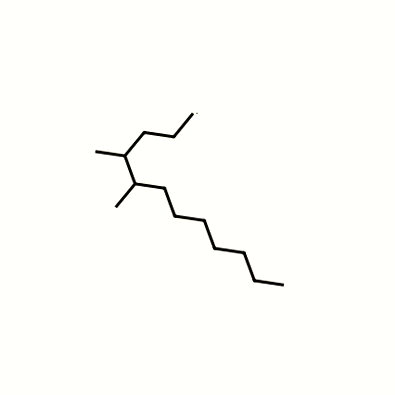 [CH2]CCC(C)C(C)CCCCCCC